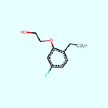 O=C(O)Cc1ccc(F)cc1OCCO